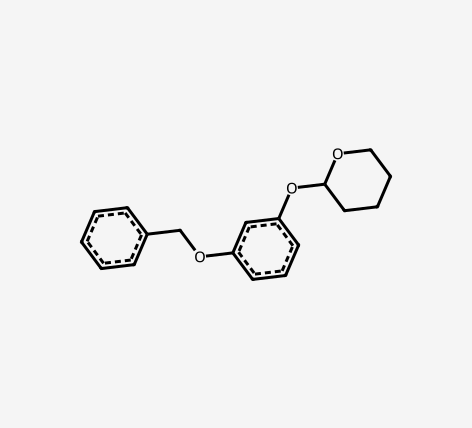 c1ccc(COc2cccc(OC3CCCCO3)c2)cc1